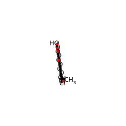 Cc1nc(Cl)nc(OCCOCCOCCOCCOCCOCCOCCOCCO)n1